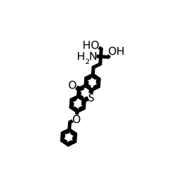 NC(CO)(CO)CCc1ccc2sc3cc(OCc4ccccc4)ccc3c(=O)c2c1